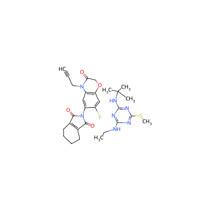 C#CCN1C(=O)COc2cc(F)c(N3C(=O)C4=C(CCCC4)C3=O)cc21.CCNc1nc(NC(C)(C)C)nc(SC)n1